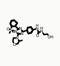 CC1COCCN1c1nc(-c2ccc(NC(=O)NCCO)cc2)nc(-c2ccccc2S(C)(=O)=O)n1